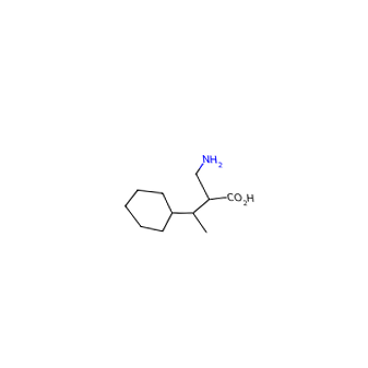 CC(C1CCCCC1)C(CN)C(=O)O